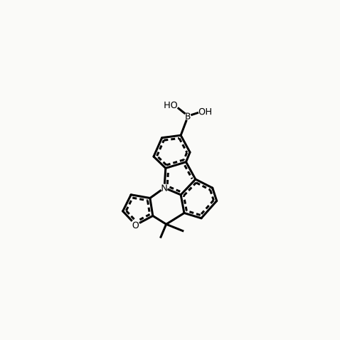 CC1(C)c2occc2-n2c3ccc(B(O)O)cc3c3cccc1c32